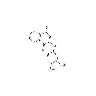 COc1ccc(NC2=CC(=O)c3ccccc3C2=O)cc1OC